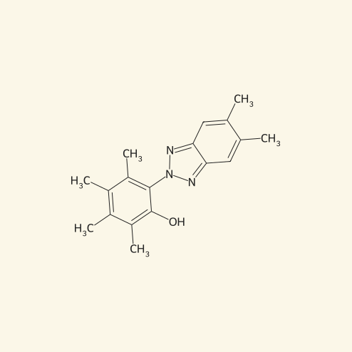 Cc1cc2nn(-c3c(C)c(C)c(C)c(C)c3O)nc2cc1C